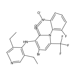 CCc1cncc(CC)c1Nc1c(Br)cc(C(F)(F)F)n(-c2c(F)cccc2[N+](=O)[O-])c1=O